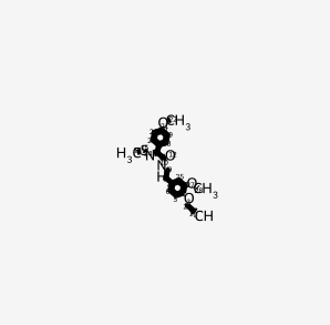 C#CCOc1ccc(CCNC(=O)C(=NSC)c2ccc(OC)cc2)cc1OC